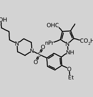 CCCc1c(C=O)c(C)c(C(=O)O)n1Nc1cc(S(=O)(=O)N2CCN(CCCO)CC2)ccc1OCC